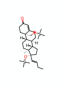 CCC=C[C@]1(O[Si](C)(C)C)CC[C@H]2[C@@H]3CCC4=CC(=O)CC[C@]4(CO[Si](C)(C)C)[C@H]3CC[C@@]21C